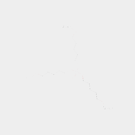 CCCCCOCCCCCOP(=O)(OCCCCCOCCCCC)OCCCCCOCCCCC